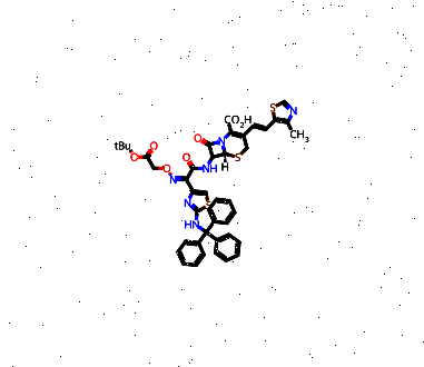 Cc1ncsc1/C=C/C1=C(C(=O)O)N2C(=O)C(NC(=O)/C(=N\OCC(=O)OC(C)(C)C)c3csc(NC(c4ccccc4)(c4ccccc4)c4ccccc4)n3)[C@H]2SC1